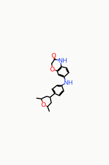 CC1CC(c2ccc(Nc3ccc4c(c3)OCC(=O)N4)cc2)CC(C)O1